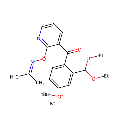 CC(C)(C)[O-].CCOC(OCC)c1ccccc1C(=O)c1cccnc1ON=C(C)C.[K+]